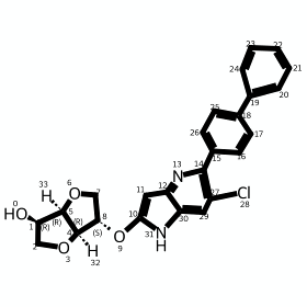 O[C@@H]1CO[C@H]2[C@@H]1OC[C@@H]2Oc1cc2nc(-c3ccc(-c4ccccc4)cc3)c(Cl)cc2[nH]1